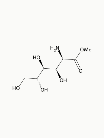 COC(=O)[C@H](N)[C@@H](O)[C@H](O)[C@H](O)CO